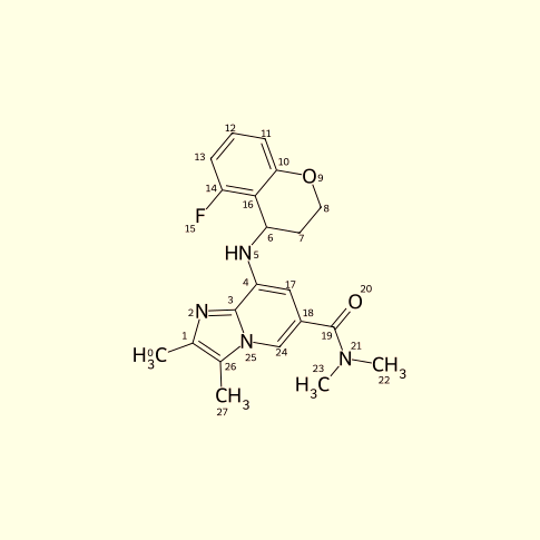 Cc1nc2c(NC3CCOc4cccc(F)c43)cc(C(=O)N(C)C)cn2c1C